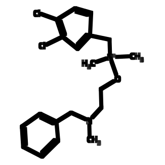 CN(CCO[N+](C)(C)Cc1ccc(Cl)c(Cl)c1)Cc1ccccc1